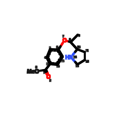 COC(=O)c1ccc(OC(C)C2CCCN2)cc1